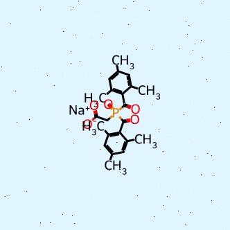 Cc1cc(C)c(C(=O)P(=O)(CC(=O)[O-])C(=O)c2c(C)cc(C)cc2C)c(C)c1.[Na+]